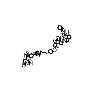 Cc1c(O[C@H]2CC[C@H](CCCCN3CCN(c4ccc5c(C6CCC(=O)NC6=O)nn(C)c5c4)CC3(C)C)CC2)cccc1-c1ccc(N2CCc3cccc(C(=O)Nc4nc5ccccc5s4)c3C2)nc1C(=O)O